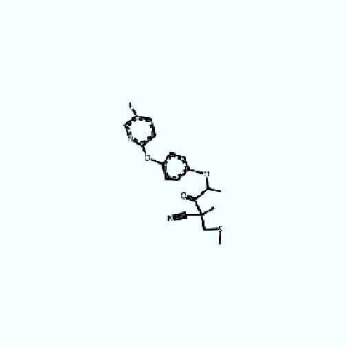 CSCC(C)(C#N)C(=O)C(C)Oc1ccc(Oc2ccc(F)cn2)cc1